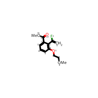 C=C(F)c1c(OCCOC)cccc1C(=O)OC